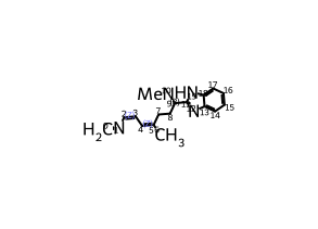 C=N/C=C\C=C(\C)CC[C@@H](NC)c1nc2ccccc2[nH]1